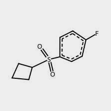 O=S(=O)(c1ccc(F)cc1)C1CCC1